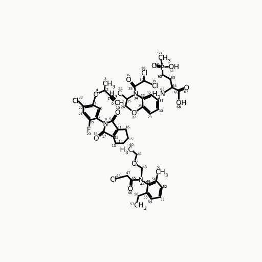 C#CC(C)Oc1cc(N2C(=O)C3=C(CCCC3)C2=O)c(F)cc1Cl.CC1COc2ccccc2N1C(=O)C(Cl)Cl.CCOCN(C(=O)CCl)c1c(C)cccc1CC.CP(=O)(O)CCC(N)C(=O)O